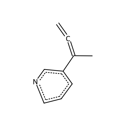 C=C=C(C)c1cccnc1